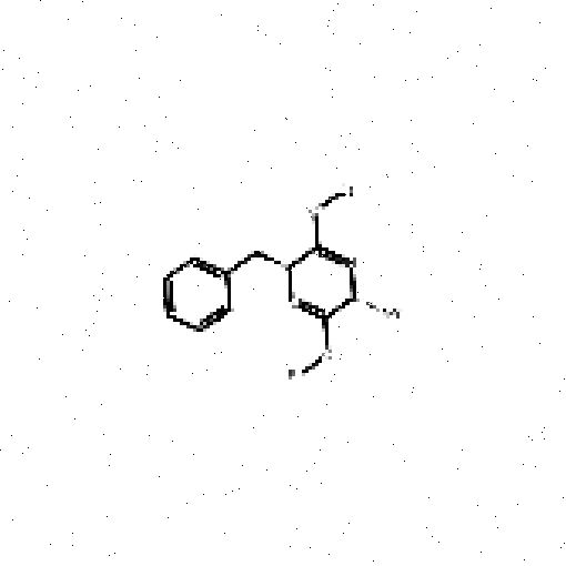 CCOC1=N[C@H](C(C)C)C(OCC)=N[C@H]1Cc1ccccc1